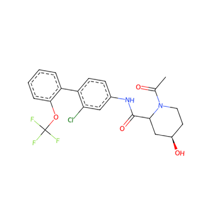 CC(=O)N1CC[C@@H](O)CC1C(=O)Nc1ccc(-c2ccccc2OC(F)(F)F)c(Cl)c1